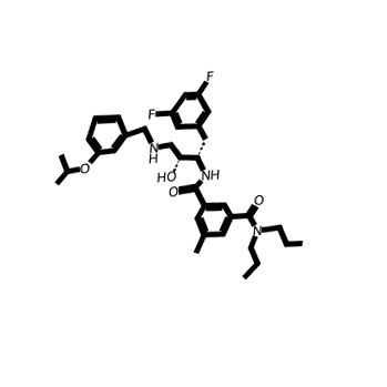 CCCN(CCC)C(=O)c1cc(C)cc(C(=O)N[C@@H](Cc2cc(F)cc(F)c2)[C@H](O)CNCc2cccc(OC(C)C)c2)c1